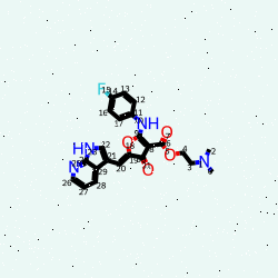 CN(C)CCOC(=O)C1=C(Nc2ccc(F)cc2)O/C(=C\c2c[nH]c3ncccc23)C1=O